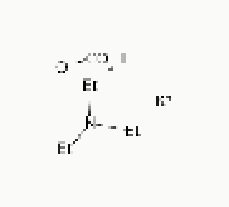 CCN(CC)CC.O=C([O-])O.[K+]